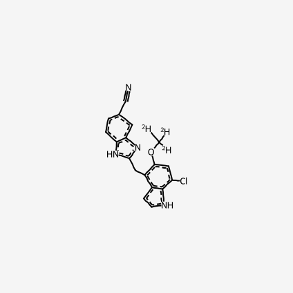 [2H]C([2H])([2H])Oc1cc(Cl)c2[nH]ccc2c1Cc1nc2cc(C#N)ccc2[nH]1